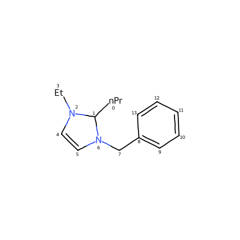 CCCC1N(CC)C=CN1Cc1ccccc1